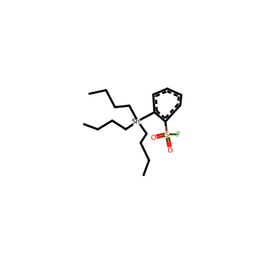 CCC[CH2][Sn]([CH2]CCC)([CH2]CCC)[c]1ccccc1S(=O)(=O)F